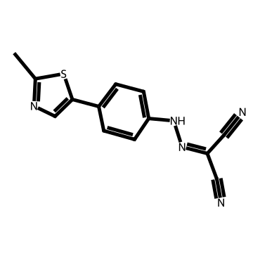 Cc1ncc(-c2ccc(NN=C(C#N)C#N)cc2)s1